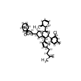 C=C1CC=CSC1C1=N[C@@H](c2ccc(F)cc2Cl)C(C2=NC(CCC(C)F)C=C2)=C2CC(CCC(=O)N3C4CC(O)CC3C4)CN12